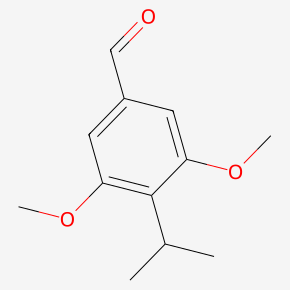 COc1cc(C=O)cc(OC)c1C(C)C